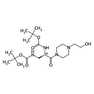 CC(C)(C)OC(=O)NC[C@@H](NC(=O)OC(C)(C)C)C(=O)N1CCN(CCO)CC1